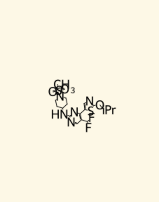 CC(C)Oc1ncc(-c2nc(NC3CCN(S(C)(=O)=O)CC3)ncc2C(F)F)s1